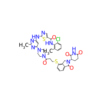 Cc1nc(Nc2ncc(C(=O)Nc3c(C)cccc3Cl)s2)cc(N2CCN(C(=O)CCSc3cccc4c3CN(C3CCC(=O)NC3=O)C4=O)CC2)n1